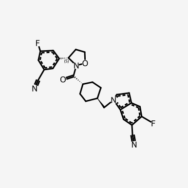 N#Cc1cc(F)cc([C@@H]2CCON2C(=O)[C@H]2CC[C@H](Cn3ccc4cc(F)c(C#N)cc43)CC2)c1